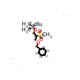 CC(C)(C)[Si](C)(C)OCC(COCc1ccccc1)S(C)(=O)=O